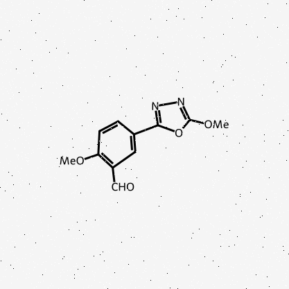 COc1nnc(-c2ccc(OC)c(C=O)c2)o1